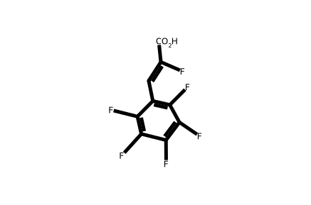 O=C(O)C(F)=Cc1c(F)c(F)c(F)c(F)c1F